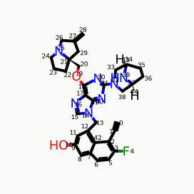 C#Cc1c(F)ccc2cc(O)cc(Cn3cnc4c(OC[C@@]56CCCN5CC(=C)C6)nc(N5C[C@H]6CC[C@@H](C5)N6)nc43)c12